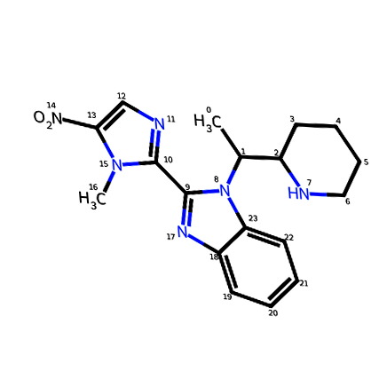 CC(C1CCCCN1)n1c(-c2ncc([N+](=O)[O-])n2C)nc2ccccc21